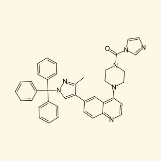 Cc1nn(C(c2ccccc2)(c2ccccc2)c2ccccc2)cc1-c1ccc2nccc(N3CCN(C(=O)n4ccnc4)CC3)c2c1